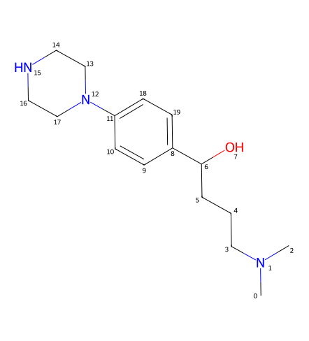 CN(C)CCCC(O)c1ccc(N2CCNCC2)cc1